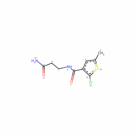 Cc1cc(C(=O)NCCC(N)=O)c(Cl)s1